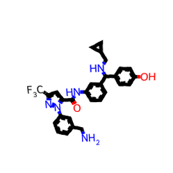 NCc1cccc(-n2nc(C(F)(F)F)cc2C(=O)Nc2cccc(C(NCC3CC3)c3ccc(O)cc3)c2)c1